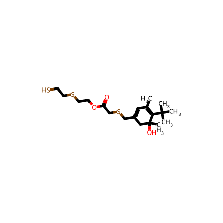 CC1=C(C(C)(C)C)C(C)(O)CC(CSCC(=O)OCCSCCS)=C1